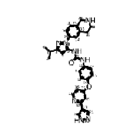 CC(C)c1cc(NC(=O)Nc2ccc(Oc3ccnc(-c4cn[nH]c4)c3)cc2)n(-c2ccc3c(c2)CCNC3)n1